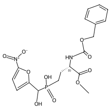 COC(=O)[C@H](CCP(=O)(O)C(O)c1ccc([N+](=O)[O-])o1)NC(=O)OCc1ccccc1